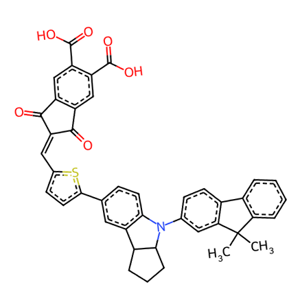 CC1(C)c2ccccc2-c2ccc(N3c4ccc(-c5ccc(C=C6C(=O)c7cc(C(=O)O)c(C(=O)O)cc7C6=O)s5)cc4C4CCCC43)cc21